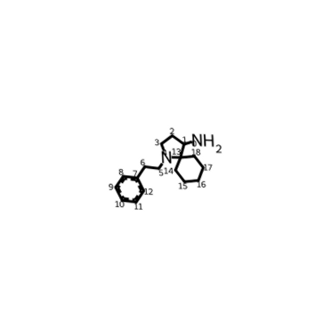 NC1CCN(CCc2ccccc2)C12CCCCC2